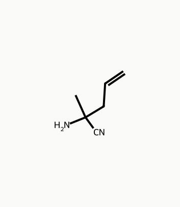 C=CCC(C)(N)C#N